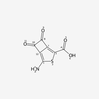 Nc1sc(C(=O)O)c2c(=O)c(=O)c12